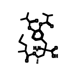 CCCC(C)C(=O)O[C@@H](C)CC(N)(Cc1ccc(OC(=O)C(C)C)c(OC(=O)C(C)C)c1)C(=O)O